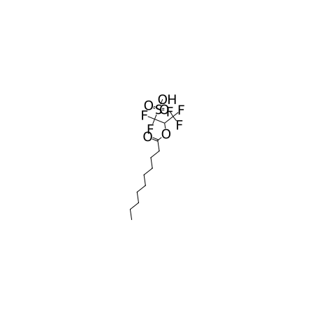 CCCCCCCCCC(=O)OC(C(F)(F)F)C(F)(F)S(=O)(=O)O